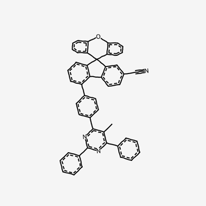 Cc1c(-c2ccccc2)nc(-c2ccccc2)nc1-c1ccc(-c2cccc3c2-c2ccc(C#N)cc2C32c3ccccc3Oc3ccccc32)cc1